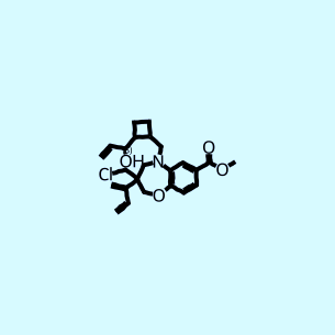 C=CC(=C)C1(CCl)COc2ccc(C(=O)OC)cc2N(CC2CCC2[C@@H](O)C=C)C1